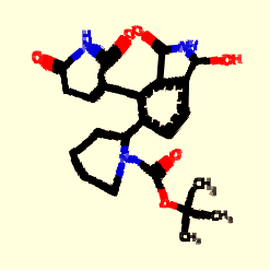 CC(C)(C)OC(=O)N1CCCCC1c1ccc2c(c1C1CCC(=O)NC1=O)C(=O)NC2O